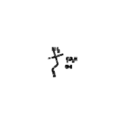 C=CCC(C)(C)N.O=C(O)O